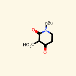 CCCCN1CCC(=O)C(C(=O)O)C1=O